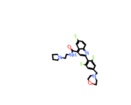 O=C(NCCN1CCCC1)c1cc(-c2c(F)cc(CN3CCOCC3)cc2F)nc2ccc(F)cc12